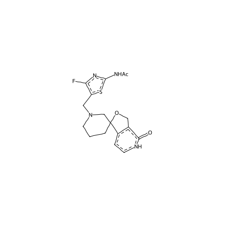 CC(=O)Nc1nc(F)c(CN2CCCC3(C2)OCc2c3cc[nH]c2=O)s1